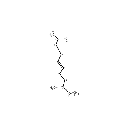 COC(C)CCC=CCCC(C)Cl